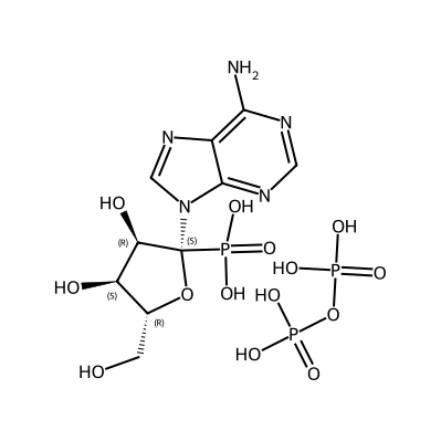 Nc1ncnc2c1ncn2[C@]1(P(=O)(O)O)O[C@H](CO)[C@@H](O)[C@H]1O.O=P(O)(O)OP(=O)(O)O